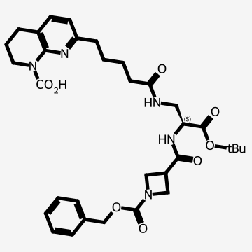 CC(C)(C)OC(=O)[C@H](CNC(=O)CCCCc1ccc2c(n1)N(C(=O)O)CCC2)NC(=O)C1CN(C(=O)OCc2ccccc2)C1